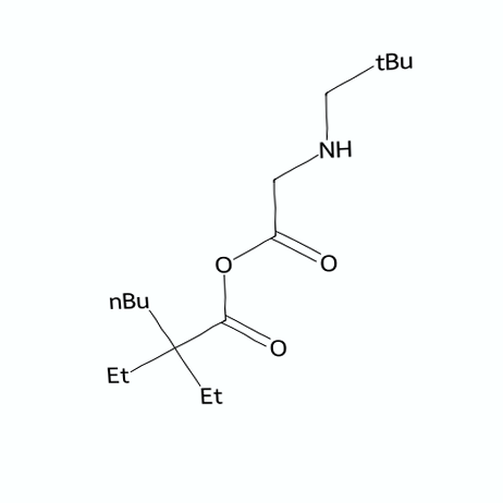 CCCCC(CC)(CC)C(=O)OC(=O)CNCC(C)(C)C